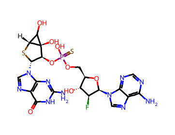 Nc1nc2c(ncn2[C@@H]2S[C@@H]3C(O)[C@]3(O)[C@H]2OP(O)(=S)OC[C@H]2O[C@@H](n3cnc4c(N)ncnc43)[C@@H](F)[C@@H]2O)c(=O)[nH]1